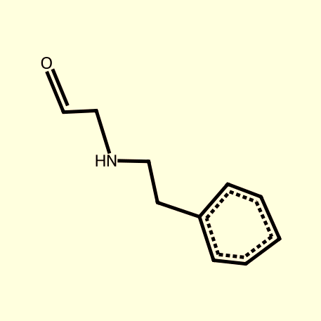 O=CCNCCc1ccccc1